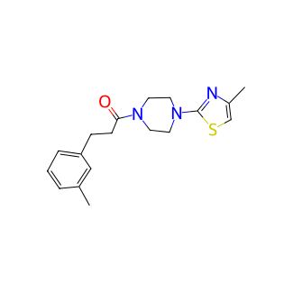 Cc1cccc(CCC(=O)N2CCN(c3nc(C)cs3)CC2)c1